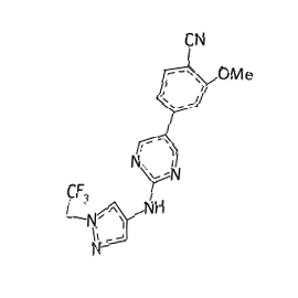 COc1cc(-c2cnc(Nc3cnn(CC(F)(F)F)c3)nc2)ccc1C#N